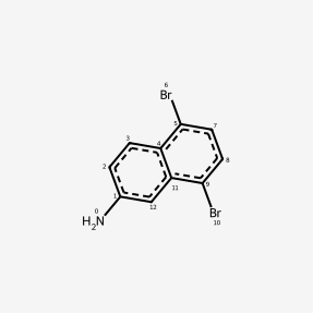 Nc1ccc2c(Br)ccc(Br)c2c1